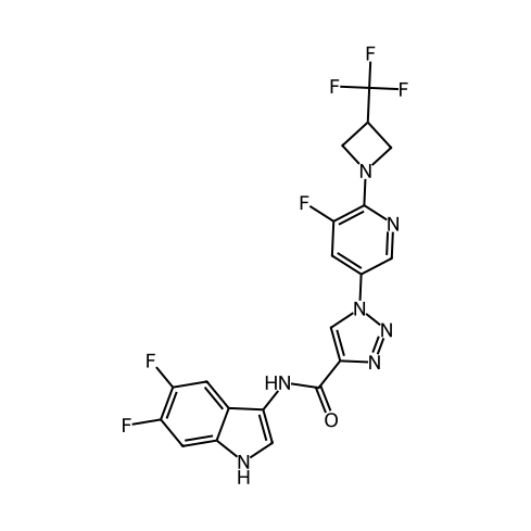 O=C(Nc1c[nH]c2cc(F)c(F)cc12)c1cn(-c2cnc(N3CC(C(F)(F)F)C3)c(F)c2)nn1